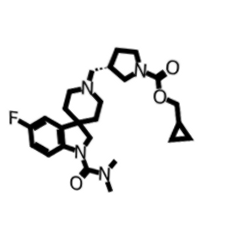 CN(C)C(=O)N1CC2(CCN(C[C@@H]3CCN(C(=O)OCC4CC4)C3)CC2)c2cc(F)ccc21